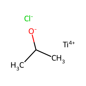 CC(C)[O-].[Cl-].[Ti+4]